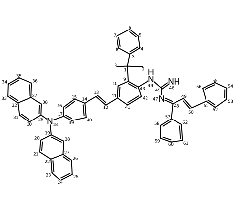 CC(C)(c1ccccc1)c1cc(/C=C/c2ccc(N(c3ccc4ccccc4c3)c3ccc4ccccc4c3)cc2)ccc1NC(=N)/N=C(\C=C\c1ccccc1)c1ccccc1